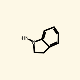 [NH]N1CCc2ccccc21